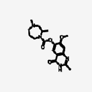 COc1cc2nc(C)[nH]c(=O)c2cc1OC(=O)N1CCCN(C)CC1C